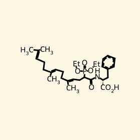 CCOP(=O)(OCC)C(C/C=C(\C)CC/C=C(\C)CCC=C(C)C)C(=O)N[C@H](Cc1ccccc1)C(=O)O